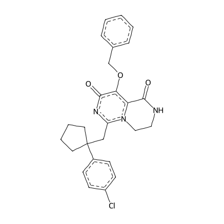 O=C1NCCn2c(CC3(c4ccc(Cl)cc4)CCCC3)nc(=O)c(OCc3ccccc3)c21